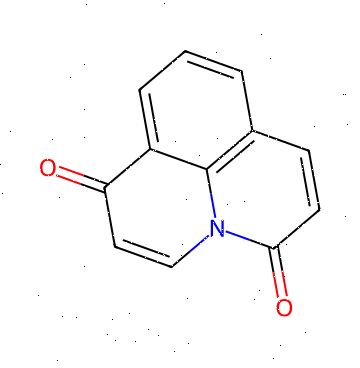 O=c1ccn2c(=O)ccc3cccc1c32